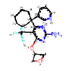 Nc1nc(OC2COC2)c(C(F)(F)F)c(C2(c3cccnc3)CCCCC2)n1